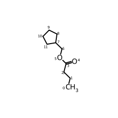 CC[CH]C(=O)OCC1CCCC1